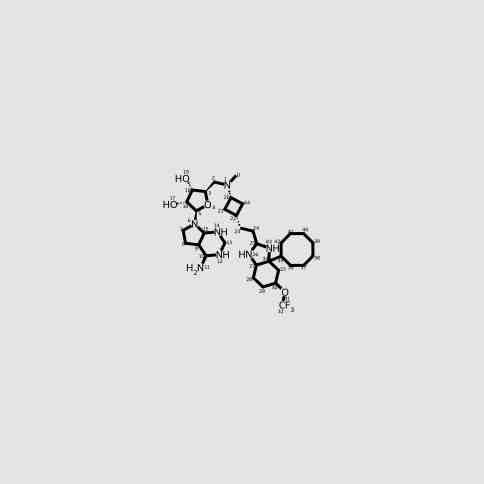 CN(C[C@H]1O[C@@H](N2CCC3C(N)NCNC32)[C@H](O)[C@@H]1O)[C@H]1C[C@@H](CCC2NC3CCC(OC(F)(F)F)CC3(C3CCCCCCC3)N2)C1